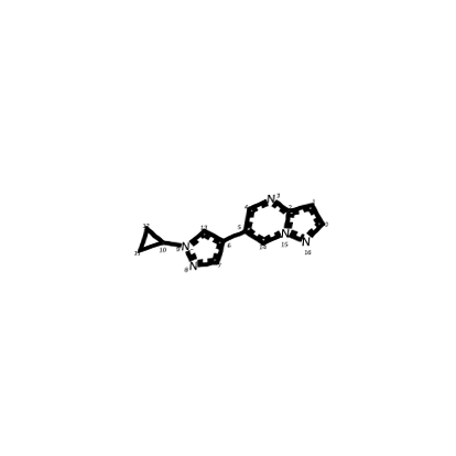 c1cc2ncc(-c3cnn(C4CC4)c3)cn2n1